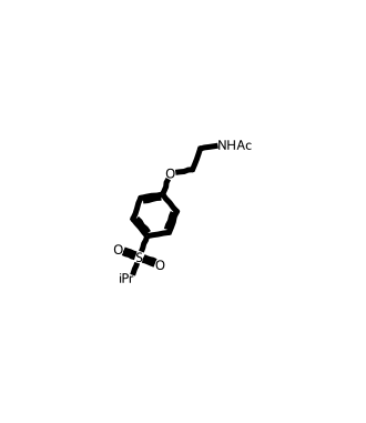 CC(=O)NCCOc1ccc(S(=O)(=O)C(C)C)cc1